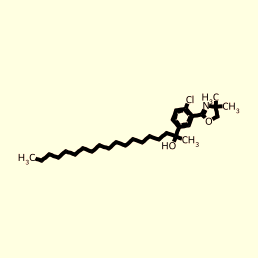 CCCCCCCCCCCCCCCCCC(C)(O)c1ccc(Cl)c(C2=NC(C)(C)CO2)c1